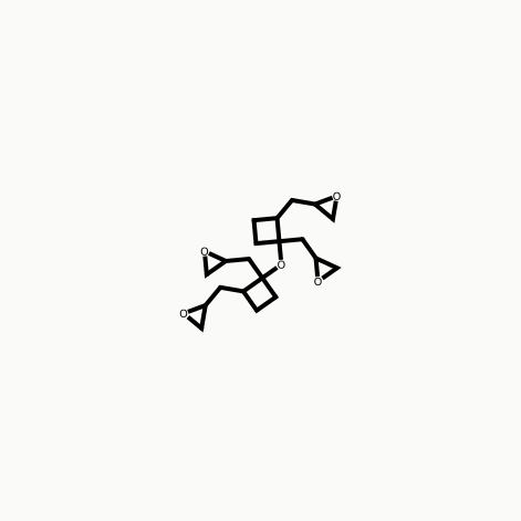 C1OC1CC1CCC1(CC1CO1)OC1(CC2CO2)CCC1CC1CO1